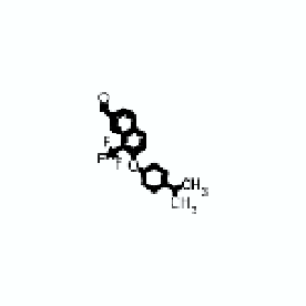 CC(C)C1CCC(Oc2ccc3ccc(C=O)cc3c2C(F)(F)F)CC1